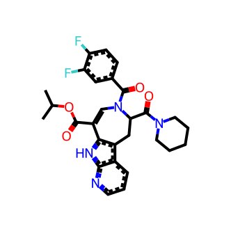 CC(C)OC(=O)C1=CN(C(=O)c2ccc(F)c(F)c2)C(C(=O)N2CCCCC2)Cc2c1[nH]c1ncccc21